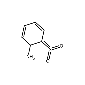 NC1C=CC=CC1=S(=O)=O